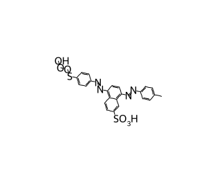 Cc1ccc(N=Nc2ccc(N=Nc3ccc(SOOO)cc3)c3ccc(S(=O)(=O)O)cc23)cc1